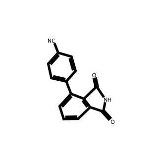 N#Cc1ccc(-c2cccc3c2C(=O)NC3=O)cc1